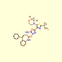 CC1(c2nc(-c3nnc(N[C@H]4C=C(c5ccccc5)c5ccccc5NC4=O)o3)c(N3CCO[C@H]4C[C@H]43)s2)CC1